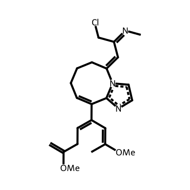 C=C(C/C=C(\C=C(/C)OC)C1=C/CCC/C(=C\C(CCl)=N/C)n2ccnc2\1)OC